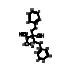 CC(O)C(O)(CCc1ccccc1)CCc1ccccc1